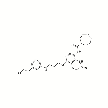 O=C1CCc2c(OCCCNc3cccc(CCO)c3)ccc(NC(=O)C3CCCCCC3)c2N1